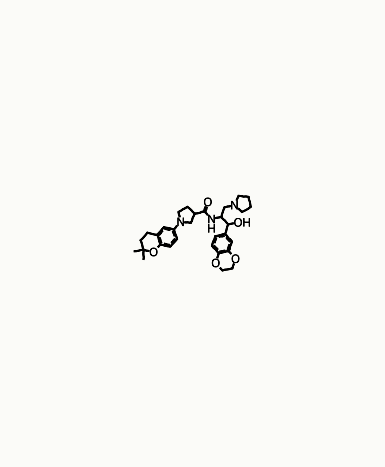 CC1(C)CCc2cc(N3CCC(C(=O)NC(CN4CCCC4)C(O)c4ccc5c(c4)OCCO5)C3)ccc2O1